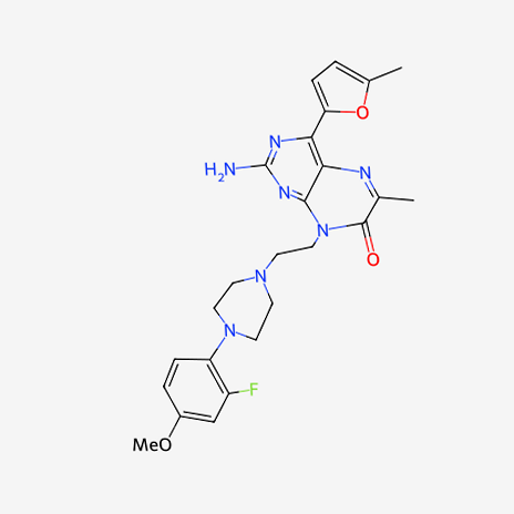 COc1ccc(N2CCN(CCn3c(=O)c(C)nc4c(-c5ccc(C)o5)nc(N)nc43)CC2)c(F)c1